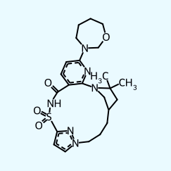 CC1(C)CC2CCCn3ccc(n3)S(=O)(=O)NC(=O)c3ccc(N4CCCCOC4)nc3N1C2